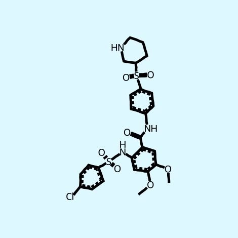 COc1cc(NS(=O)(=O)c2ccc(Cl)cc2)c(C(=O)Nc2ccc(S(=O)(=O)C3CCCNC3)cc2)cc1OC